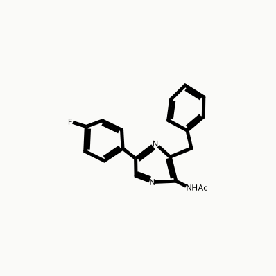 CC(=O)Nc1ncc(-c2ccc(F)cc2)nc1Cc1ccccc1